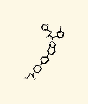 CC(C)(C)OC(=O)N1CCN(c2ccc(-c3ccc4cn([C@@H](C(=O)Nc5nccs5)c5cccc(F)c5)nc4c3)cn2)CC1